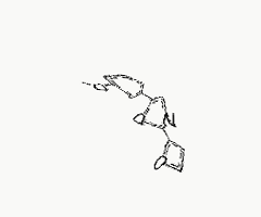 COc1cccc(-c2cnc(-c3ccoc3)o2)c1